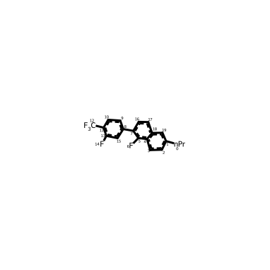 CCCc1ccc2c(F)c(-c3ccc(C(F)(F)F)c(F)c3)ccc2c1